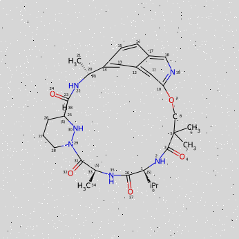 CC(C)[C@@H]1NC(=O)C(C)(C)COc2cc3cc(ccc3cn2)[C@@H](C)NC(=O)[C@@H]2CCCN(N2)C(=O)[C@H](C)NC1=O